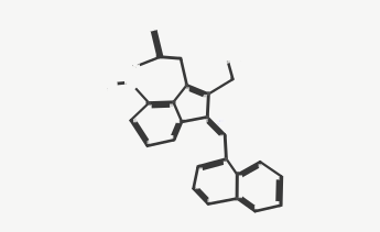 CCC1=C(CC(N)=O)c2c(OC)cccc2/C1=C\c1cccc2ccccc12